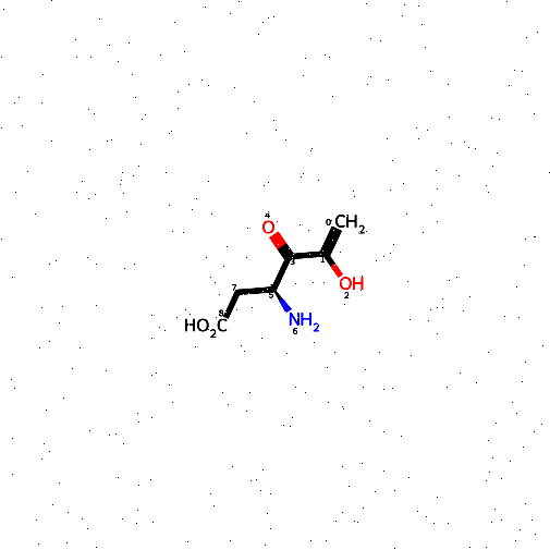 C=C(O)C(=O)[C@@H](N)CC(=O)O